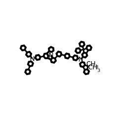 CC1(C)c2ccccc2-c2ccc(N(c3ccc(-c4ccc(-c5cccc(-c6cccc7c8cc(-c9ccc(N(c%10ccc(-c%11ccccc%11)cc%10)c%10ccc(-c%11ccccc%11)cc%10)cc9)cc9c%10ccccc%10n(c67)c98)c5)cc4)cc3)c3ccc4c(c3)C(c3ccccc3)(c3ccccc3)c3ccccc3-4)cc21